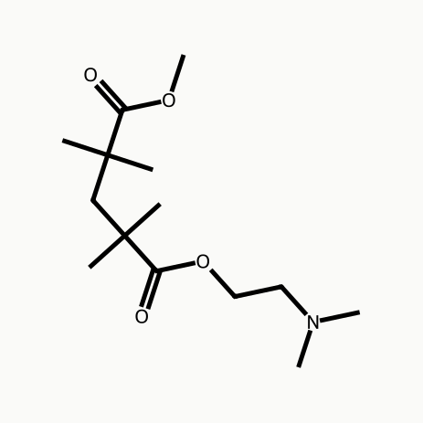 COC(=O)C(C)(C)CC(C)(C)C(=O)OCCN(C)C